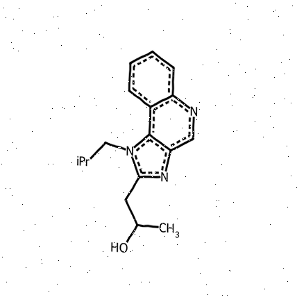 CC(C)Cn1c(CC(C)O)nc2cnc3ccccc3c21